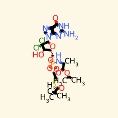 CC(C)OC(=O)[C@H](C)N[P@@](=O)(OCCSC(=O)C(C)(C)C)OC[C@H]1O[C@@H](n2cnc3c(=O)[nH]c(N)nc32)C(Cl)(Cl)[C@@H]1O